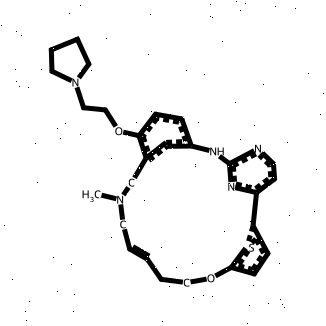 CN1C/C=C/CCOc2ccc(s2)-c2ccnc(n2)Nc2ccc(OCCN3CCCC3)c(c2)C1